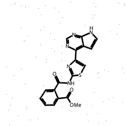 COC(=O)c1ccccc1C(=O)Nc1nc(-c2ncnc3[nH]ccc23)cs1